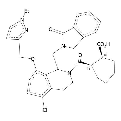 CCn1ccc(COc2ccc(Cl)c3c2C(CN2Cc4ccccc4C2=O)N(C(=O)[C@@H]2CCCC[C@@H]2C(=O)O)CC3)n1